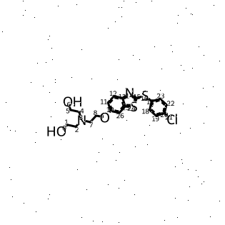 OCCN(CCO)CCOc1ccc2nc(Sc3ccc(Cl)cc3)sc2c1